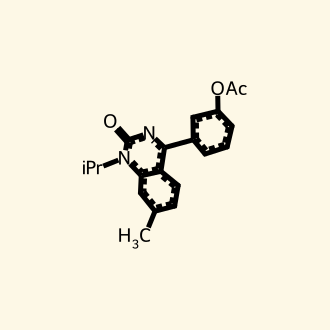 CC(=O)Oc1cccc(-c2nc(=O)n(C(C)C)c3cc(C)ccc23)c1